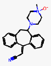 C[N+]1([O-])CCN(C2Cc3ccccc3/C(=C\C#N)c3ccccc32)CC1